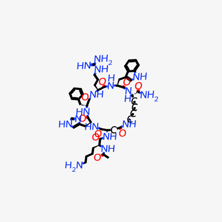 CC(=O)N[C@@H](CCCCN)C(=O)N[C@H]1CC(=O)NCCCC[C@@H](C(N)=O)NC(=O)[C@H](Cc2c[nH]c3ccccc23)NC(=O)[C@H](CCCNC(=N)N)NC(=O)[C@@H](Cc2ccccc2)NC(=O)[C@H](Cc2c[nH]cn2)NC1=O